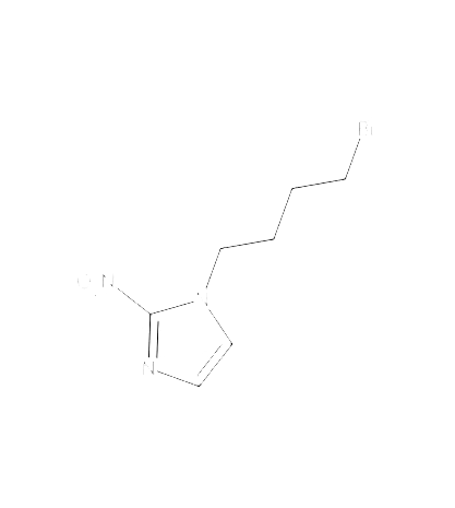 O=[N+]([O-])c1nccn1CCCCBr